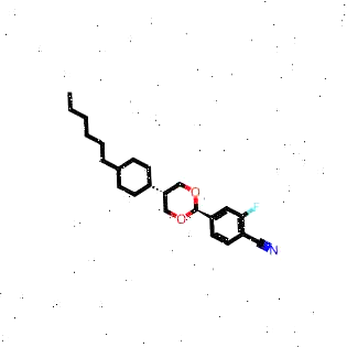 CCCCCCC1CCC([C@H]2CO[C@H](c3ccc(C#N)c(F)c3)OC2)CC1